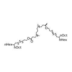 C=C(CCN(C)CCCN(C)CCC(=O)OCCSSSCC(CCCCCC)CCCCCCCC)OCCSSSCC(CCCCCC)CCCCCCCC